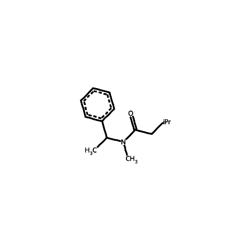 CC(C)CC(=O)N(C)C(C)c1ccccc1